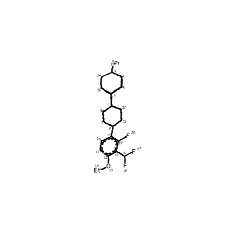 CCCC1CCC(C2CCC(c3ccc(OCC)c(C(F)F)c3F)CC2)CC1